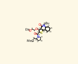 CCCCn1c(=O)c2c(OCCOCC)c(C(=O)N3CCCC3COC)sc2c2ccccc21